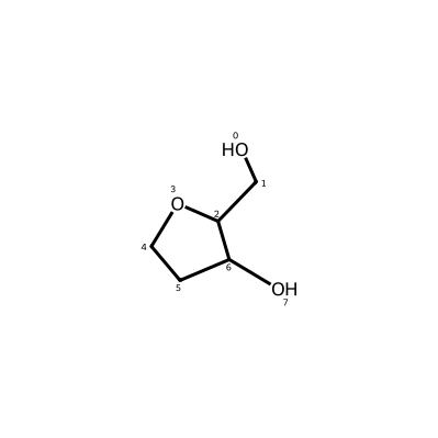 OCC1OCCC1O